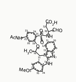 COc1ccc(Nc2nc3ccccc3n2CC(C)Oc2cc(NC(C)=O)ccc2S(=O)(=O)NC(C=O)CC(=O)O)cc1